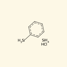 Cl.[SiH3]c1ccccc1.[SiH4]